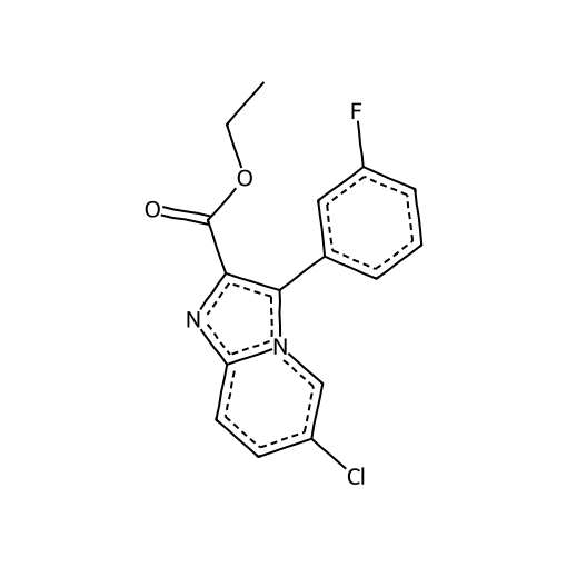 CCOC(=O)c1nc2ccc(Cl)cn2c1-c1cccc(F)c1